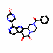 O=C1C(=O)N2CCN(C(=O)c3ccccc3)CC2c2[nH]c3c(-c4cnc(O)cn4)nccc3c21